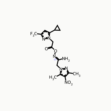 Cc1nn(C/C(N)=N/OC(=O)Cn2nc(C(F)(F)F)cc2C2CC2)c(C)c1[N+](=O)[O-]